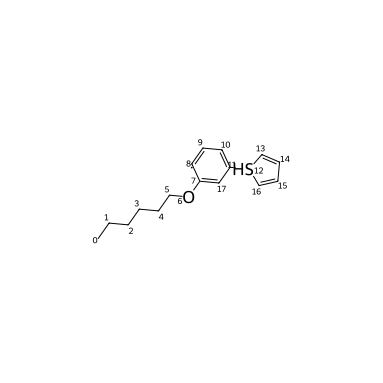 CCCCCCOc1[c]ccc([SH]2C=CC=C2)c1